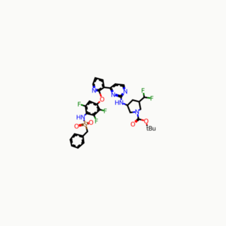 CC(C)(C)OC(=O)N1CC(Nc2nccc(-c3cccnc3Oc3cc(F)c(NS(=O)(=O)Cc4ccccc4)c(F)c3F)n2)CC(C(F)F)C1